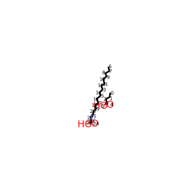 CCCC(=O)O.CCCCCCCCCCCCCCC/C=C/C(=O)O